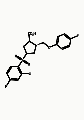 O=C(O)[C@@H]1CC(S(=O)(=O)c2ccc(F)cc2Cl)C[C@H]1COc1ccc(F)cc1